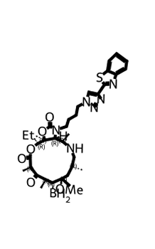 B[C@@H]1[C@@H](C)C(=O)[C@@H](C)C(=O)O[C@H](CC)[C@@]2(C)OC(=O)N(CCCCn3cc(-c4nc5ccccc5s4)nn3)[C@@H]2[C@@H](C)NC[C@H](C)C[C@@]1(C)OC